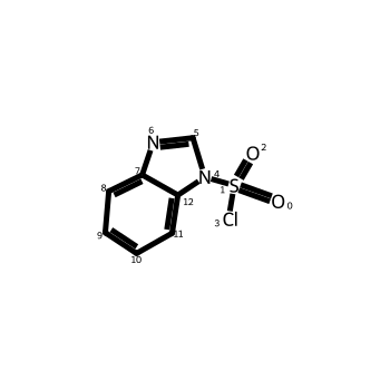 O=S(=O)(Cl)n1cnc2ccccc21